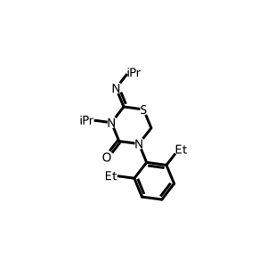 CCc1cccc(CC)c1N1CSC(=NC(C)C)N(C(C)C)C1=O